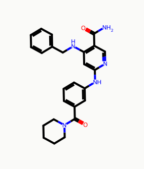 NC(=O)c1cnc(Nc2cccc(C(=O)N3CCCCC3)c2)cc1NCc1ccccc1